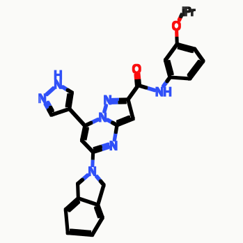 CC(C)Oc1cccc(NC(=O)c2cc3nc(N4Cc5ccccc5C4)cc(-c4cn[nH]c4)n3n2)c1